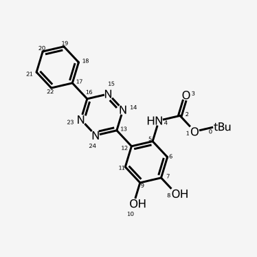 CC(C)(C)OC(=O)Nc1cc(O)c(O)cc1-c1nnc(-c2ccccc2)nn1